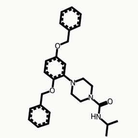 CC(C)NC(=O)N1CCN(c2cc(OCc3ccccc3)ccc2OCc2ccccc2)CC1